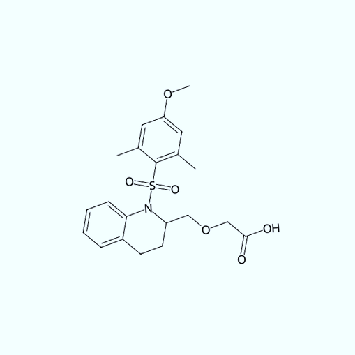 COc1cc(C)c(S(=O)(=O)N2c3ccccc3CCC2COCC(=O)O)c(C)c1